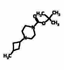 CC1CC(N2CCN(C(=O)OC(C)(C)C)CC2)C1